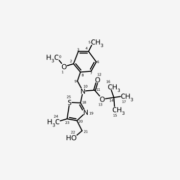 COc1cc(C)ccc1CN(C(=O)OC(C)(C)C)c1nc(CO)c(C)s1